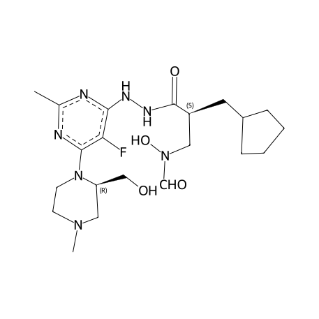 Cc1nc(NNC(=O)[C@@H](CC2CCCC2)CN(O)C=O)c(F)c(N2CCN(C)C[C@@H]2CO)n1